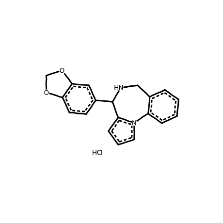 Cl.c1ccc2c(c1)CNC(c1ccc3c(c1)OCO3)c1cccn1-2